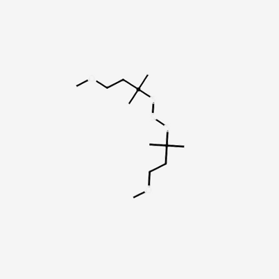 COCCC(C)(C)SSSC(C)(C)CCOC